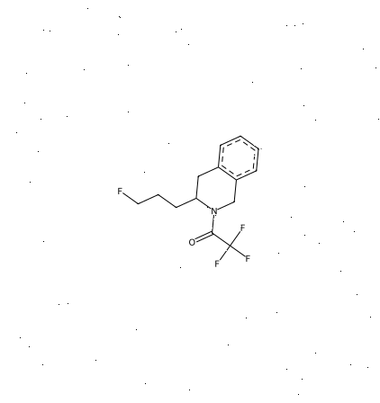 O=C(N1Cc2c[c]ccc2CC1CCCF)C(F)(F)F